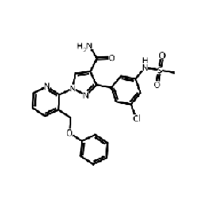 CS(=O)(=O)Nc1cc(Cl)cc(-c2nn(-c3ncccc3COc3ccccc3)cc2C(N)=O)c1